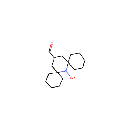 O=CC1CC2(CCCCC2)N(O)C2(CCCCC2)C1